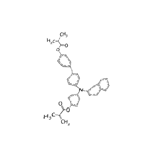 C=C(C)C(=O)Oc1ccc(-c2ccc(N(c3ccc(OC(=O)C(=C)C)cc3)c3ccc4ccccc4c3)cc2)cc1